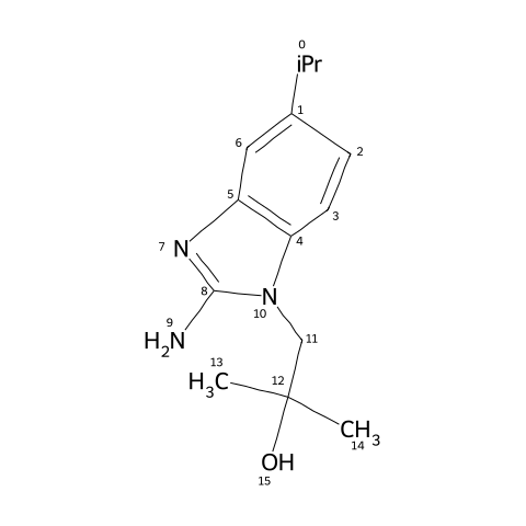 CC(C)c1ccc2c(c1)nc(N)n2CC(C)(C)O